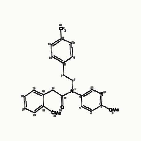 COc1ccc(N(CCc2ccc(C(F)(F)F)cc2)C(=O)Cc2ccccc2OC)cn1